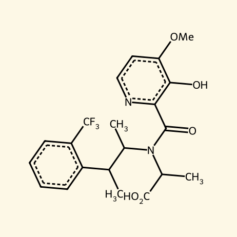 COc1ccnc(C(=O)N(C(C)C(=O)O)C(C)C(C)c2ccccc2C(F)(F)F)c1O